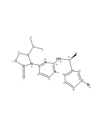 CC(C)C1COC(=O)N1c1ccnc(N[C@@H](C)c2cccc(Br)c2)n1